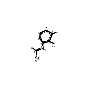 CC(=O)C(C)=Nc1cccc(C)c1C